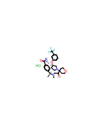 C[C@@H](c1ccc(C(N)=O)cc1)N(C)CC(=O)C1(N2CC[C@@H](Oc3cccc(C(F)(F)F)c3)C2)CCOCC1.Cl